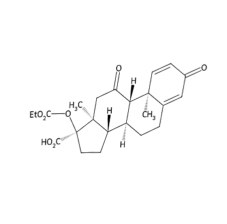 CCOC(=O)O[C@]1(C(=O)O)CC[C@H]2[C@@H]3CCC4=CC(=O)C=C[C@]4(C)[C@H]3C(=O)C[C@@]21C